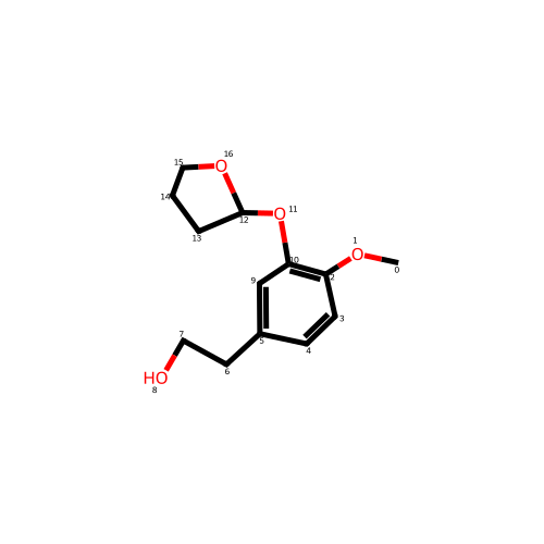 COc1ccc(CCO)cc1OC1CCCO1